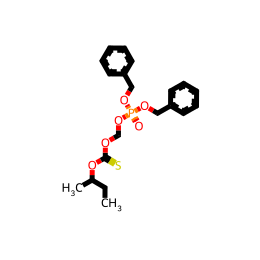 CCC(C)OC(=S)OCOP(=O)(OCc1ccccc1)OCc1ccccc1